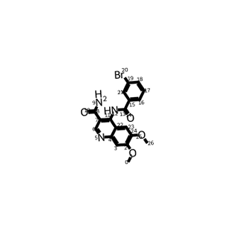 COc1cc2ncc(C(N)=O)c(NC(=O)c3cccc(Br)c3)c2cc1OC